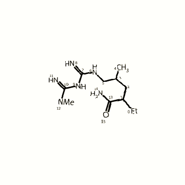 CCC(CC(C)CNC(=N)NC(=N)NC)C(N)=O